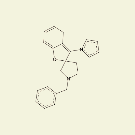 C1=CCC2=C(n3cccc3)C3(CCN(Cc4ccccc4)C3)OC2=C1